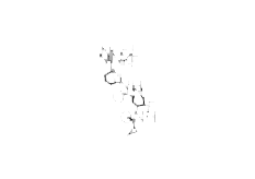 C[C@H](n1cnnc1-c1cccc(NC(=O)c2cc(NC(=O)C3CC3)c(F)cn2)n1)C(F)(F)F